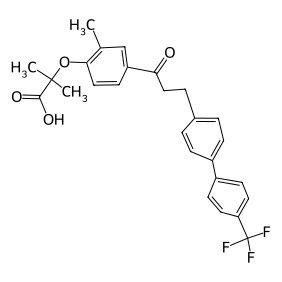 Cc1cc(C(=O)CCc2ccc(-c3ccc(C(F)(F)F)cc3)cc2)ccc1OC(C)(C)C(=O)O